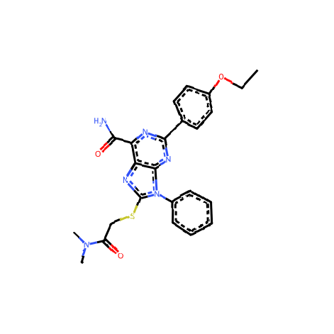 CCOc1ccc(-c2nc(C(N)=O)c3nc(SCC(=O)N(C)C)n(-c4ccccc4)c3n2)cc1